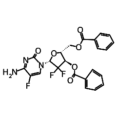 Nc1nc(=O)n([C@@H]2O[C@H](COC(=O)c3ccccc3)[C@@H](OC(=O)c3ccccc3)C2(F)F)cc1F